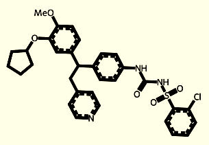 COc1ccc(C(Cc2ccncc2)c2ccc(NC(=O)NS(=O)(=O)c3ccccc3Cl)cc2)cc1OC1CCCC1